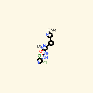 CCn1nc(-c2cccc(-c3ccc(OC)nc3)c2)cc(NC(=O)Nc2c(Cl)cncc2Cl)c1=O